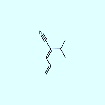 C=C/C=C(/C#N)C(C)C